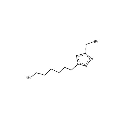 CC(C)Cc1cn(CCCCCCC(C)(C)C)nn1